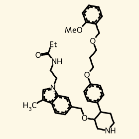 CCC(=O)NCCn1cc(C)c2ccc(COC3CNCCC3c3ccc(OCCCOCc4ccccc4OC)cc3)cc21